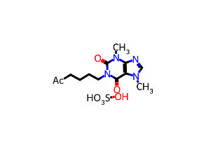 CC(=O)CCCCn1c(=O)c2c(ncn2C)n(C)c1=O.O=S(=O)(O)O